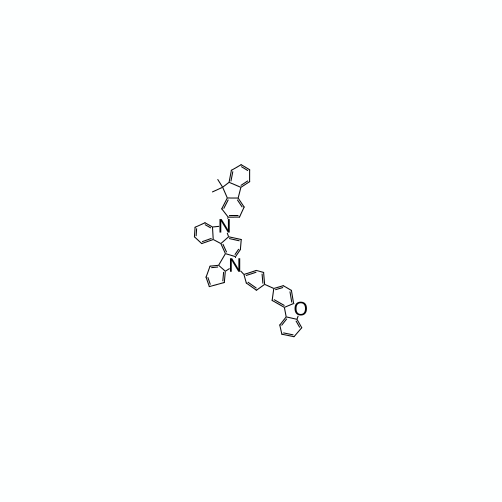 CC1(C)c2ccccc2-c2ccc(-n3c4ccccc4c4c5c6ccccc6n(-c6ccc(-c7ccc8oc9ccccc9c8c7)cc6)c5ccc43)cc21